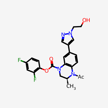 CC(=O)N1c2ccc(-c3cnn(CCO)c3)cc2N(C(=O)Oc2ccc(F)cc2F)C[C@@H]1C